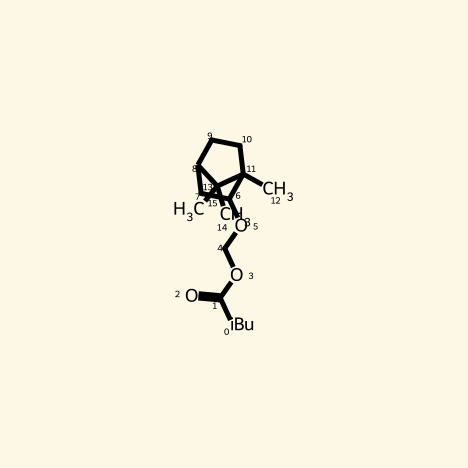 CCC(C)C(=O)OCOC1CC2CCC1(C)C2(C)C